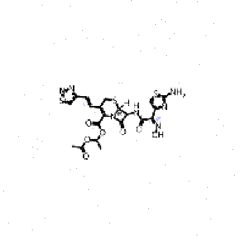 CC(=O)OC(C)OC(=O)C1=C(/C=C/c2csnn2)CS[C@@H]2C(NC(=O)/C(=N\O)c3csc(N)n3)C(=O)N12